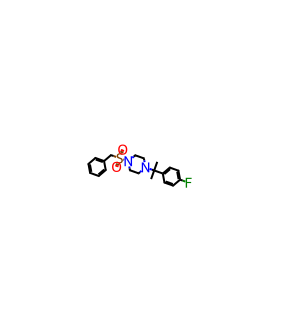 CC(C)(c1ccc(F)cc1)N1CCN(S(=O)(=O)Cc2ccccc2)CC1